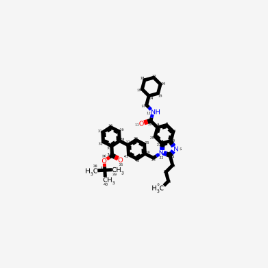 CCCCc1nc2ccc(C(=O)NCC3CCCCC3)cc2n1Cc1ccc(-c2ccccc2C(=O)OC(C)(C)C)cc1